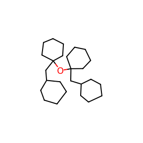 C1CCC(CC2(OC3(CC4CCCCC4)CCCCC3)CCCCC2)CC1